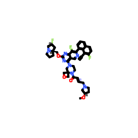 C#Cc1c(F)ccc2cccc(-c3ncc4c(N5CCN(C(=O)/C=C/CN6CC[C@@H](OC)C6)C6(COC6)C5)nc(OC[C@@]56CCCN5C[C@H](F)C6)nc4c3F)c12